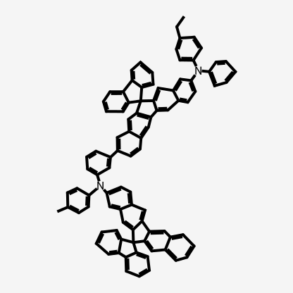 CCc1ccc(N(c2ccccc2)c2ccc3cc4c(cc3c2)C2(c3ccccc3-c3ccccc32)c2cc3cc(-c5cccc(N(c6ccc(C)cc6)c6ccc7cc8c(cc7c6)C6(c7ccccc7-c7ccccc76)c6cc7ccccc7cc6-8)c5)ccc3cc2-4)cc1